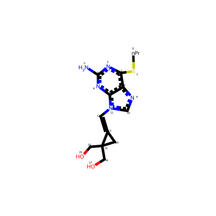 CCCSc1nc(N)nc2c1ncn2C=C1CC1(CO)CO